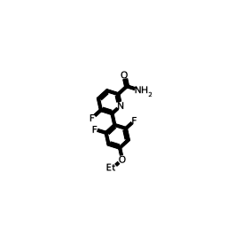 CCOc1cc(F)c(-c2nc(C(N)=O)ccc2F)c(F)c1